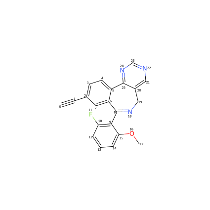 C#Cc1ccc2c(c1)C(c1c(F)cccc1OC)=NCc1cncnc1-2